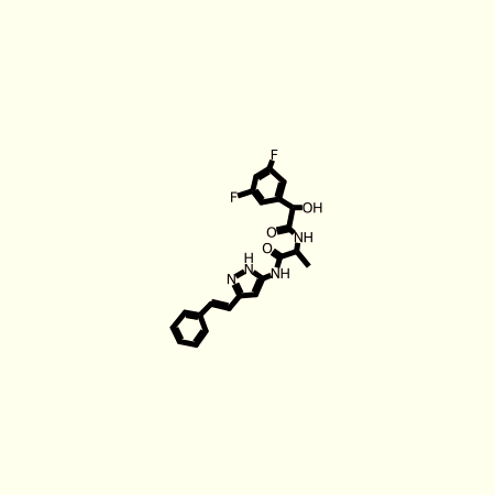 CC(NC(=O)C(O)c1cc(F)cc(F)c1)C(=O)Nc1cc(C=Cc2ccccc2)n[nH]1